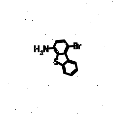 Nc1ccc(Br)c2c1sc1ccccc12